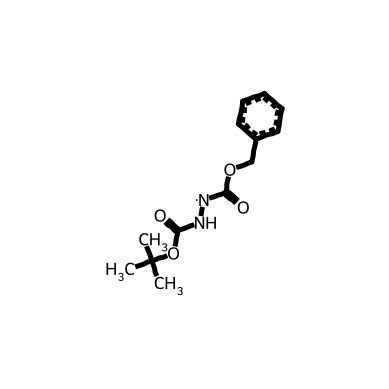 CC(C)(C)OC(=O)N[N]C(=O)OCc1ccccc1